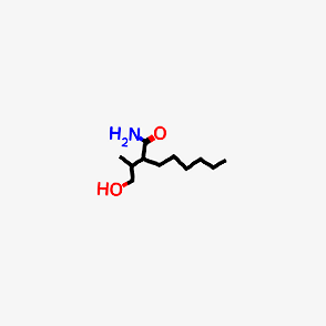 CCCCCCC(C(N)=O)C(C)CO